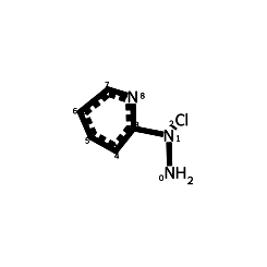 NN(Cl)c1ccccn1